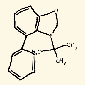 CC(C)(C)P1COc2cccc(-c3ccccc3)c21